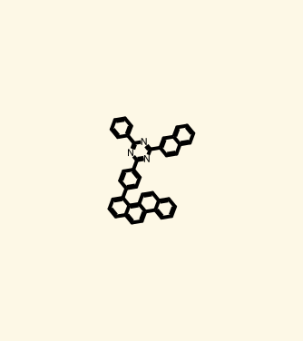 c1ccc(-c2nc(-c3ccc(-c4cccc5ccc6c7ccccc7ccc6c45)cc3)nc(-c3ccc4ccccc4c3)n2)cc1